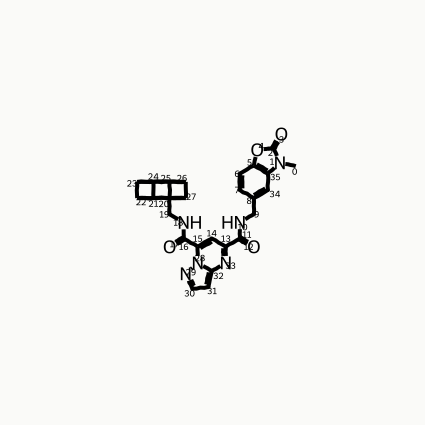 Cn1c(=O)oc2ccc(CNC(=O)c3cc(C(=O)NCC45C6C7C8C6C4C8C75)n4nccc4n3)cc21